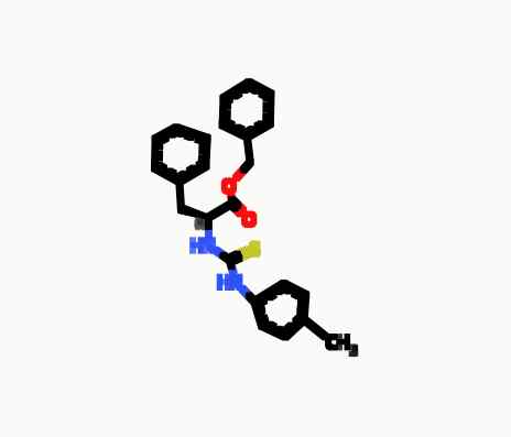 Cc1ccc(NC(=S)N[C@@H](Cc2ccccc2)C(=O)OCc2ccccc2)cc1